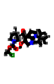 COc1cnc2c(ccn2[Si](C(C)C)(C(C)C)C(C)C)c1C(=O)[C@@H]1CN(C(=O)OC(C)Cl)CC[C@@H]1C